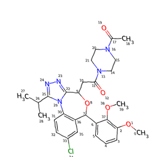 COc1cccc(C2OC(CC(=O)N3CCN(C(C)=O)CC3)c3nnc(C(C)C)n3-c3ccc(Cl)cc32)c1OC